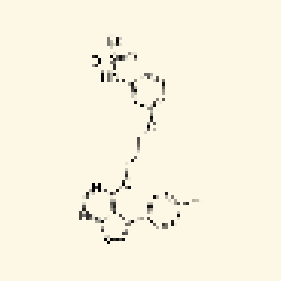 CCS(=O)(=O)Nc1cccc(OCCCOc2ncnc3scc(-c4ccc(F)cc4)c23)c1